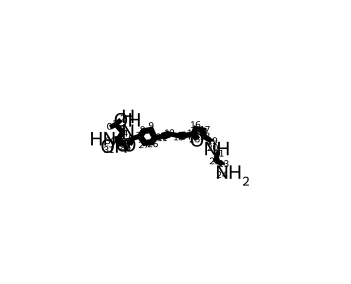 CC(O)C(NC(=O)c1ccc(C#CC#Cc2ccc(CNCCCN)o2)cc1)C(=O)NO